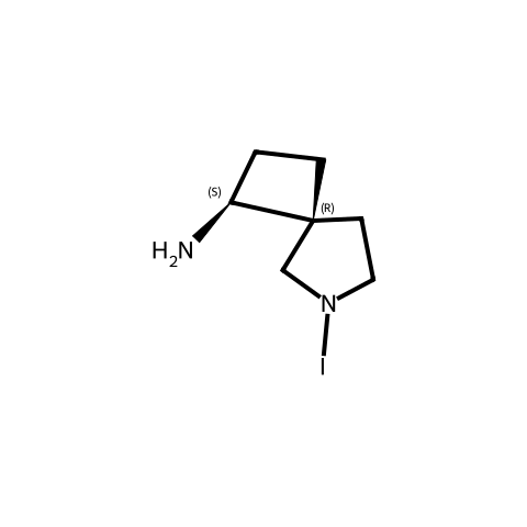 N[C@H]1CC[C@]12CCN(I)C2